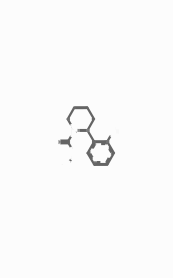 CC(C)(C)OC(=O)N1CCCCC1c1ccccc1Br